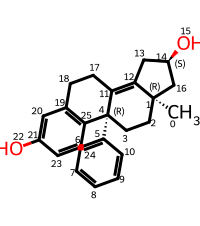 C[C@]12CC[C@]3(c4ccccc4)C(=C1C[C@@H](O)C2)CCc1cc(O)ccc13